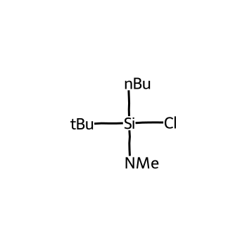 CCCC[Si](Cl)(NC)C(C)(C)C